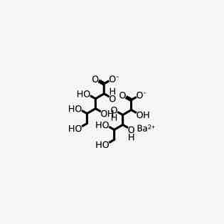 O=C([O-])C(O)C(O)C(O)C(O)CO.O=C([O-])C(O)C(O)C(O)C(O)CO.[Ba+2]